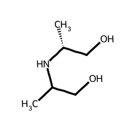 CC(CO)N[C@H](C)CO